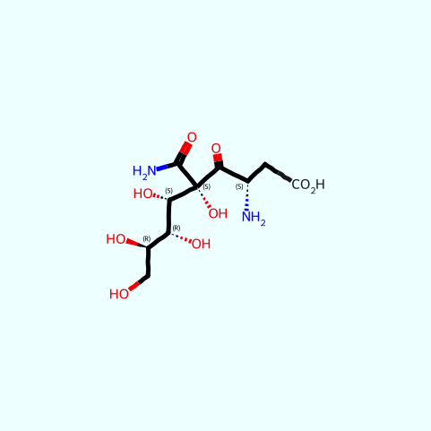 NC(=O)[C@@](O)(C(=O)[C@@H](N)CC(=O)O)[C@@H](O)[C@H](O)[C@H](O)CO